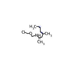 C/C=C\C=C(/C)C[C@H](C)NCOCCl